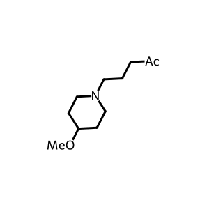 COC1CCN(CCCC(C)=O)CC1